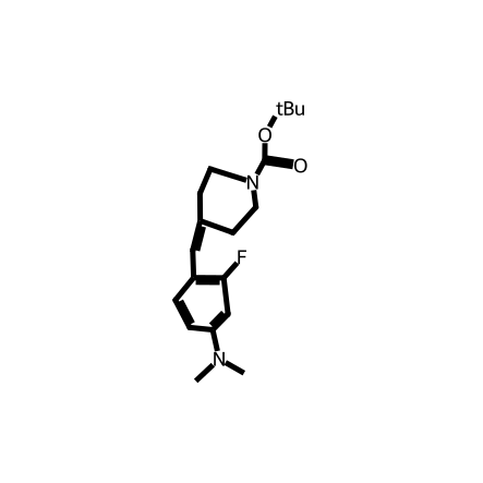 CN(C)c1ccc(C=C2CCN(C(=O)OC(C)(C)C)CC2)c(F)c1